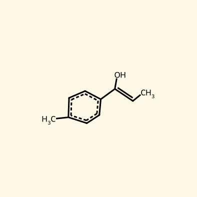 CC=C(O)c1ccc(C)cc1